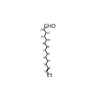 CC/C=C/CCCCCCCCCCCC=O